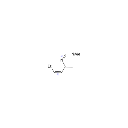 C=C(/C=C\CC)/N=C\NC